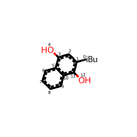 CCC(C)c1cc(O)c2ccccc2c1O